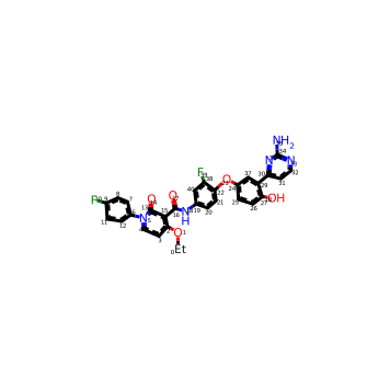 CCOc1ccn(-c2ccc(F)cc2)c(=O)c1C(=O)Nc1ccc(Oc2ccc(O)c(-c3ccnc(N)n3)c2)c(F)c1